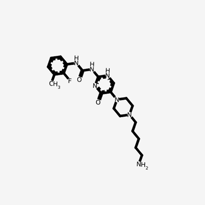 Cc1cccc(NC(=O)Nc2nc(=O)c(N3CCN(CCCCCN)CC3)c[nH]2)c1F